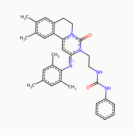 Cc1cc(C)c(/N=c2\cc3n(c(=O)n2CCNC(=O)Nc2ccccc2)CCc2cc(C)c(C)cc2-3)c(C)c1